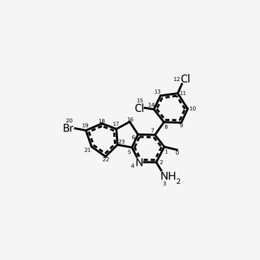 Cc1c(N)nc2c(c1-c1ccc(Cl)cc1Cl)Cc1cc(Br)ccc1-2